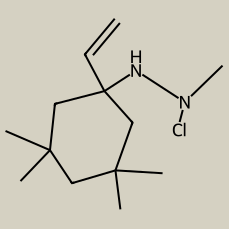 C=CC1(NN(C)Cl)CC(C)(C)CC(C)(C)C1